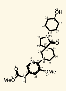 COC(=O)Nc1cnc(N2CCC[C@]3(CCN([C@H]4CC[C@H](O)CC4)C3=O)C2)c(OC)c1